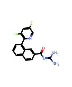 NC(N)=NC(=O)c1ccc2cccc(-c3ncc(F)cc3F)c2c1